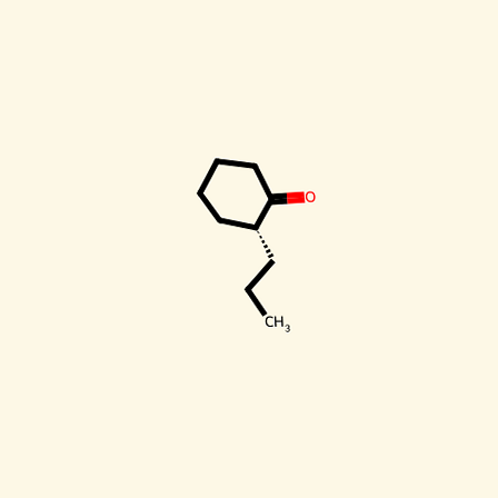 CCC[C@@H]1CCCCC1=O